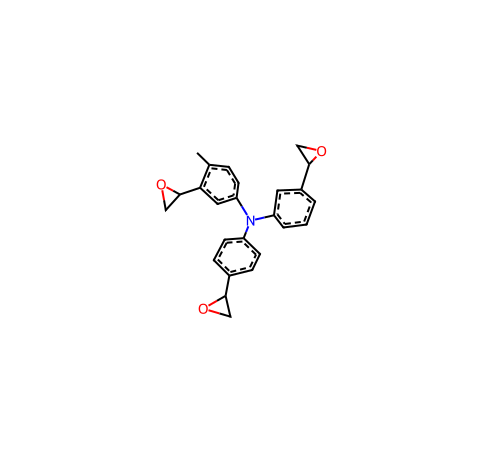 Cc1ccc(N(c2ccc(C3CO3)cc2)c2cccc(C3CO3)c2)cc1C1CO1